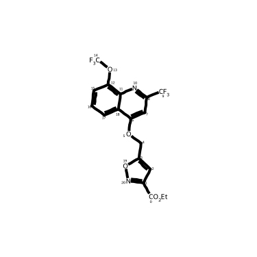 CCOC(=O)c1cc(COc2cc(C(F)(F)F)nc3c(OC(F)(F)F)cccc23)on1